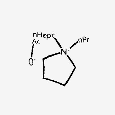 CC(=O)[O-].CCCCCCC[N+]1(CCC)CCCC1